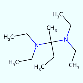 CCN(CC)C(C)(CC)N(CC)CC